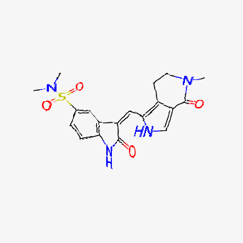 CN1CCc2c(c[nH]c2C=C2C(=O)Nc3ccc(S(=O)(=O)N(C)C)cc32)C1=O